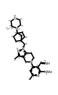 CNc1nc(C)cc(N2CCc3c(c(C)nn3CC34CCC(N5CCOC[C@H]5C)(CC3)C4)C2)c1C=N